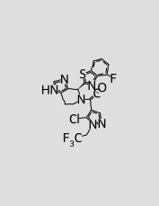 O=C=C(c1cnn(CC(F)(F)F)c1Cl)N1CCc2[nH]cnc2[C@H]1c1nc2c(F)cccc2s1